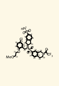 CCCS(=O)(=O)c1ccc2c(c1)CC(N(Cc1cc(Cl)ccc1OCCOC)S(=O)(=O)c1ccc3c(c1)CN(C(=O)C(F)(F)F)CC3)C2